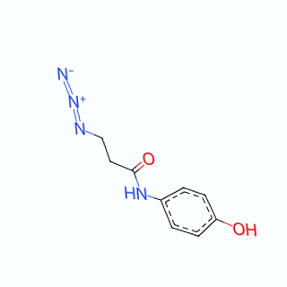 [N-]=[N+]=NCCC(=O)Nc1ccc(O)cc1